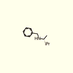 CC(C)[C@@H](C)NCc1ccccc1